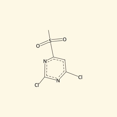 CS(=O)(=O)c1cc(Cl)nc(Cl)n1